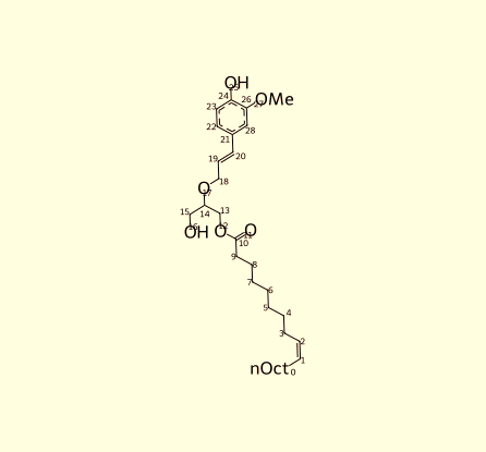 CCCCCCCC/C=C\CCCCCCCC(=O)OCC(CO)OCC=Cc1ccc(O)c(OC)c1